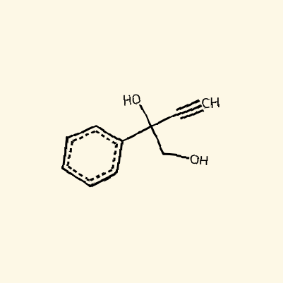 C#CC(O)(CO)c1ccccc1